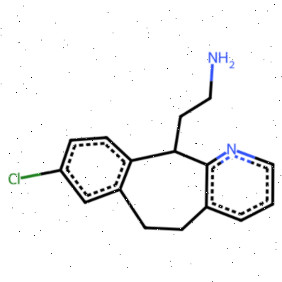 NCCC1c2ccc(Cl)cc2CCc2cccnc21